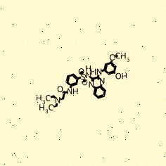 CCN(CC)CC(=O)Nc1cccc(S(=O)(=O)Nc2nc3ccccc3nc2Nc2cc(O)cc(OC)c2)c1